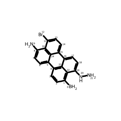 Bc1ccc2c3ccc(N)c4c(Br)ccc(c5ccc(NN)c1c25)c43